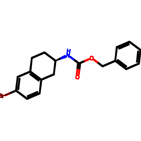 O=C(N[C@@H]1CCc2cc(Br)ccc2C1)OCc1ccccc1